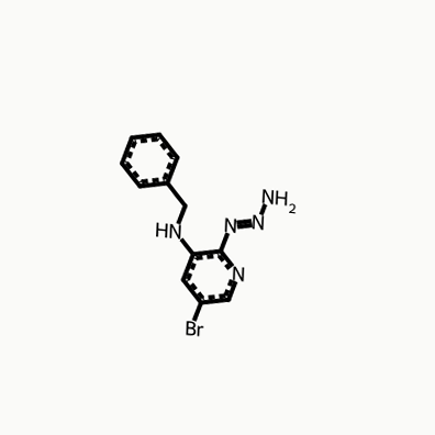 NN=Nc1ncc(Br)cc1NCc1ccccc1